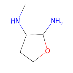 CNC1CCOC1N